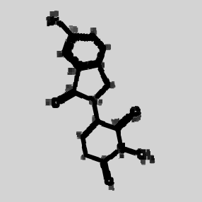 CN1C(=O)CCC(N2Cc3ccc(Br)cc3C2=O)C1=O